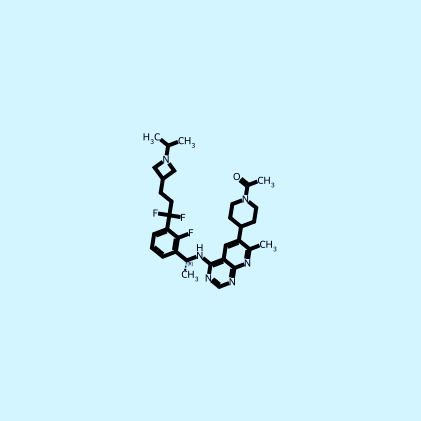 CC(=O)N1CCC(c2cc3c(N[C@H](C)c4cccc(C(F)(F)CCC5CN(C(C)C)C5)c4F)ncnc3nc2C)CC1